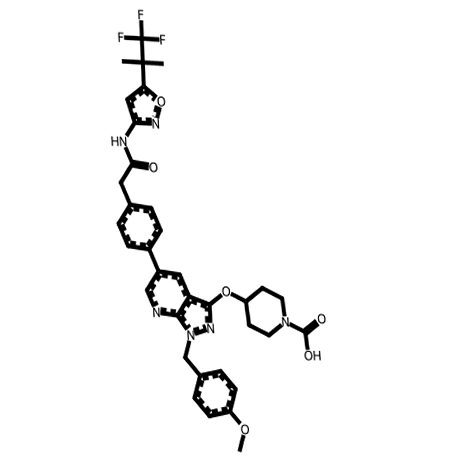 COc1ccc(Cn2nc(OC3CCN(C(=O)O)CC3)c3cc(-c4ccc(CC(=O)Nc5cc(C(C)(C)C(F)(F)F)on5)cc4)cnc32)cc1